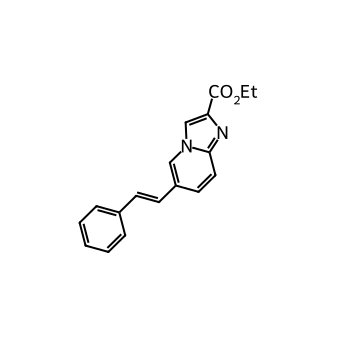 CCOC(=O)c1cn2cc(C=Cc3ccccc3)ccc2n1